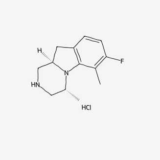 Cc1c(F)ccc2c1N1[C@@H](CNC[C@H]1C)C2.Cl